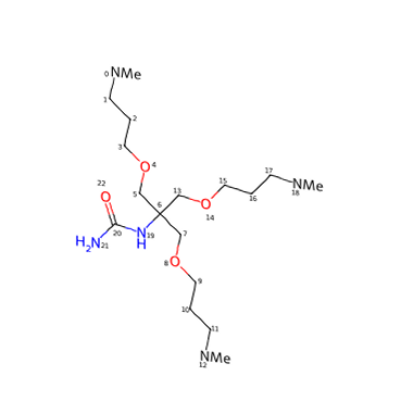 CNCCCOCC(COCCCNC)(COCCCNC)NC(N)=O